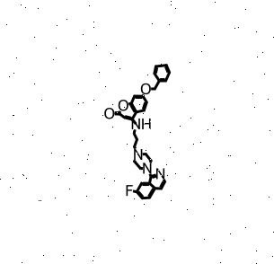 O=c1cc(NCCCN2CCN(c3nccc4ccc(F)cc34)CC2)c2ccc(OCc3ccccc3)cc2o1